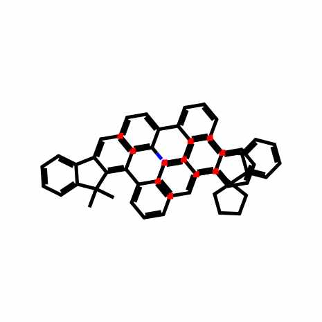 CC1(C)c2ccccc2-c2cccc(-c3ccccc3N(c3ccc4c(c3)C3(CCCC3)c3ccccc3-4)c3ccccc3-c3cccc(-c4ccccc4-c4ccccc4)c3)c21